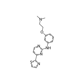 CN(C)CCOc1cccc(Nc2nccc(-c3nccs3)n2)c1